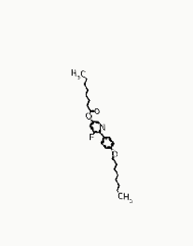 CCCCCCCCOc1ccc(-c2ncc(OC(=O)CCCCCCC)cc2F)cc1